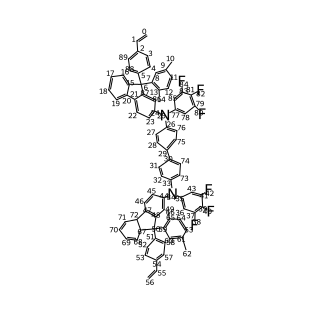 C=Cc1ccc(C2(c3cc(C)ccc3C)c3ccccc3-c3ccc(N(c4ccc(-c5ccc(N(c6cc(F)c(F)c(F)c6)c6ccc7c(c6)C(c6ccc(C=C)cc6)(c6cc(C)ccc6C)C6C=CC=CC76)cc5)cc4)c4cc(F)c(F)c(F)c4)cc32)cc1